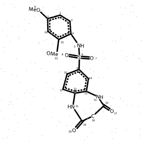 COc1ccc(NS(=O)(=O)c2ccc3c(c2)NC(=O)CC(=O)N3)c(OC)c1